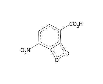 O=C(O)c1ccc([N+](=O)[O-])c2ooc12